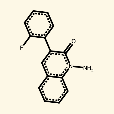 Nn1c(=O)c(-c2ccccc2F)cc2ccccc21